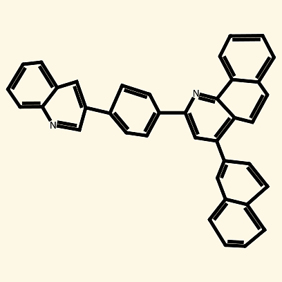 c1ccc2cc(-c3cc(-c4ccc(-c5cnc6ccccc6c5)cc4)nc4c3ccc3ccccc34)ccc2c1